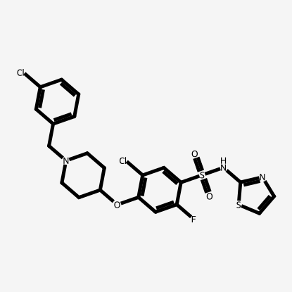 O=S(=O)(Nc1nccs1)c1cc(Cl)c(OC2CCN(Cc3cccc(Cl)c3)CC2)cc1F